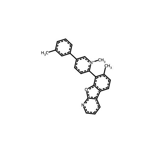 Cc1cccc(-c2ccc(-c3c(C)ccc4c3oc3ncccc34)[n+](C)c2)c1